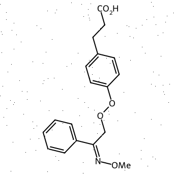 CO/N=C(\COOc1ccc(CCC(=O)O)cc1)c1ccccc1